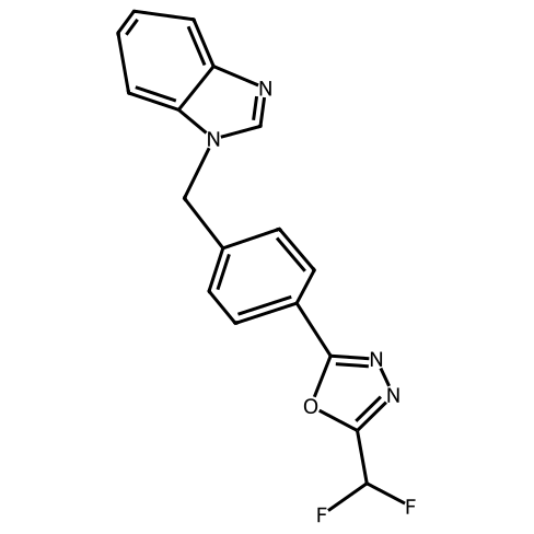 FC(F)c1nnc(-c2ccc(Cn3cnc4ccccc43)cc2)o1